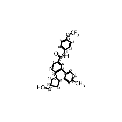 Cc1ccc(-c2cc(C(=O)Nc3ccc(OC(F)(F)F)cc3)cnc2N2CC[C@@H](CO)C2)cn1